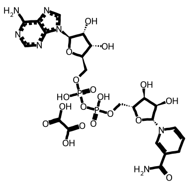 NC(=O)C1=CN([C@@H]2O[C@H](COP(=O)(O)OP(=O)(O)OC[C@H]3O[C@@H](n4cnc5c(N)ncnc54)[C@H](O)[C@@H]3O)[C@@H](O)[C@H]2O)C=CC1.O=C(O)C(=O)O